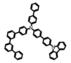 c1ccc(-c2ccc(N(c3ccc(-c4ccc(-n5c6ccccc6c6ccccc65)cc4)cc3)c3ccc(-c4cccc(-c5cccc(-c6ccccc6)c5)c4)cc3)cc2)cc1